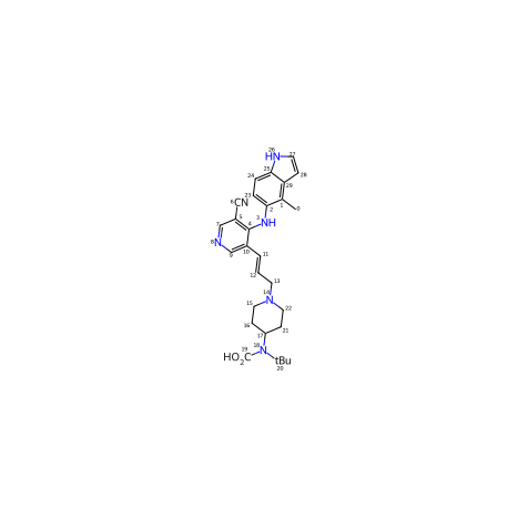 Cc1c(Nc2c(C#N)cncc2/C=C/CN2CCC(N(C(=O)O)C(C)(C)C)CC2)ccc2[nH]ccc12